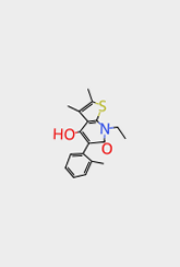 CCn1c(=O)c(-c2ccccc2C)c(O)c2c(C)c(C)sc21